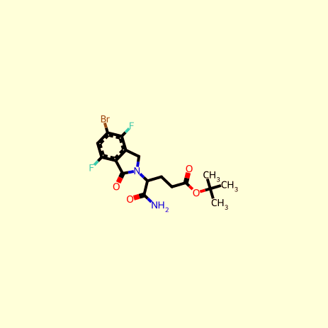 CC(C)(C)OC(=O)CCC(C(N)=O)N1Cc2c(F)c(Br)cc(F)c2C1=O